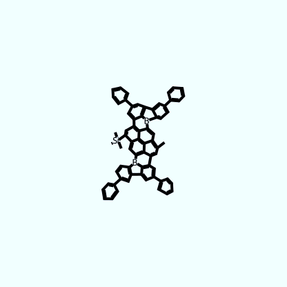 Cc1cc2c3c(cc4c([Si](C)(C)C)cc5c6c(cc1c3c46)B1c3ccc(-c4ccccc4)cc3-c3cc(-c4ccccc4)cc-5c31)B1c3ccc(-c4ccccc4)cc3-c3cc(-c4ccccc4)cc-2c31